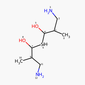 CC(CN)C(O)[SiH]C(O)C(C)CN